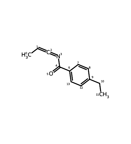 CC=C=NC(=O)c1ccc(CC)cc1